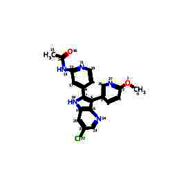 COc1ccc(-c2c(-c3ccnc(NC(C)=O)c3)[nH]c3cc(Cl)cnc23)cn1